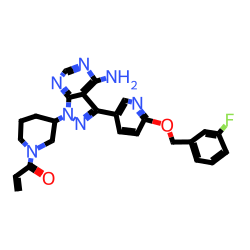 C=CC(=O)N1CCCC(n2nc(-c3ccc(OCc4cccc(F)c4)nc3)c3c(N)ncnc32)C1